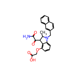 CC1C(C(=O)C(N)=O)c2c(OCC(=O)O)cccc2N1Cc1ccc2ccccc2c1